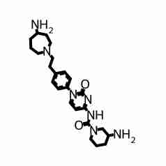 NC1CCCN(CCc2ccc(-n3ccc(NC(=O)N4CCCC(N)C4)nc3=O)cc2)CC1